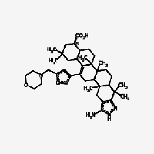 CC1(C)CC2C3=C(c4coc(CN5CCOCC5)c4)CC4C5(C)Cc6c(n[nH]c6N)C(C)(C)C5CCC4(C)C3(C)CCC2[C@H](C(=O)O)C1